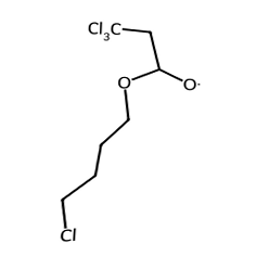 [O]C(CC(Cl)(Cl)Cl)OCCCCCl